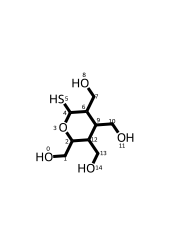 OCC1OC(S)C(CO)C(CO)C1CO